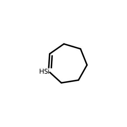 C1=[SiH]CCCCC1